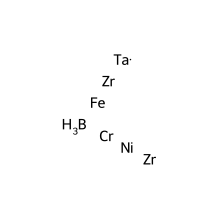 B.[Cr].[Fe].[Ni].[Ta].[Zr].[Zr]